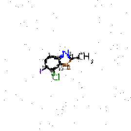 Cc1nc2ccc(I)c(Cl)c2s1